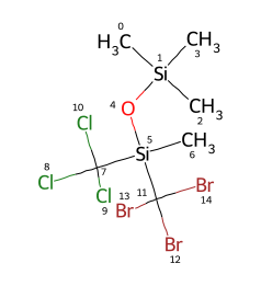 C[Si](C)(C)O[Si](C)(C(Cl)(Cl)Cl)C(Br)(Br)Br